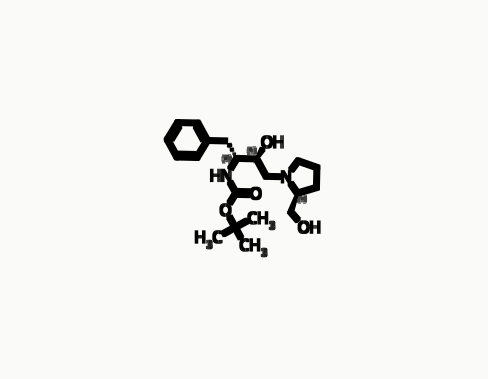 CC(C)(C)OC(=O)N[C@H](Cc1ccccc1)[C@@H](O)CN1CCC[C@H]1CO